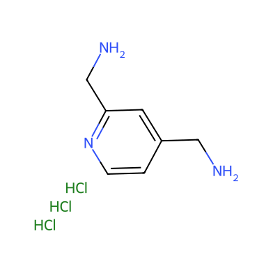 Cl.Cl.Cl.NCc1ccnc(CN)c1